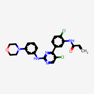 C=CC(=O)Nc1cc(-c2nc(Nc3cccc(N4CCOCC4)c3)ncc2Cl)ccc1Cl